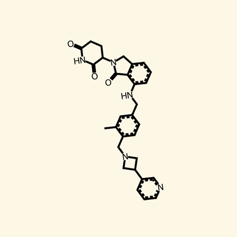 Cc1cc(CNc2cccc3c2C(=O)N(C2CCC(=O)NC2=O)C3)ccc1CN1CC(c2cccnc2)C1